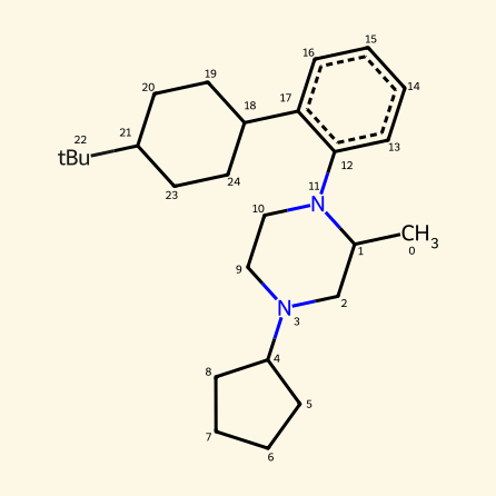 CC1CN(C2CCCC2)CCN1c1ccccc1C1CCC(C(C)(C)C)CC1